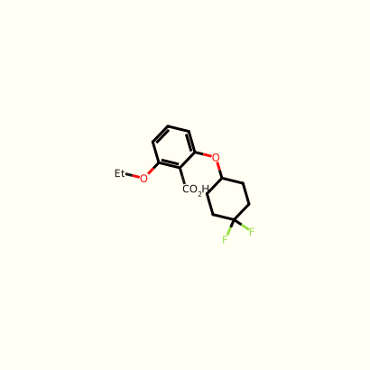 CCOc1cccc(OC2CCC(F)(F)CC2)c1C(=O)O